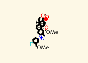 COCO[C@H]1C[C@@]2(C)[C@@H](CC[C@@]23OCOC32COCO2)[C@@H]2CCC3=Cc4c(cnn4-c4ccc(F)c(COC)c4)C[C@]3(C)[C@H]21